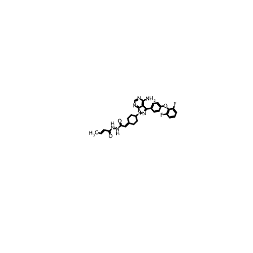 C/C=C/C(=O)NNC(=O)C=C1CCC(n2nc(-c3ccc(Oc4c(F)cccc4F)cc3)c3c(N)ncnc32)CC1